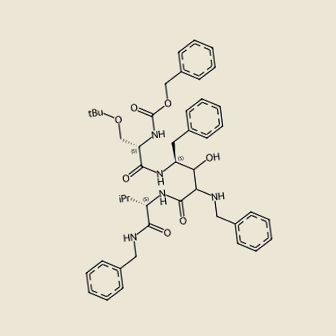 CC(C)[C@H](NC(=O)C(NCc1ccccc1)C(O)[C@H](Cc1ccccc1)NC(=O)[C@H](COC(C)(C)C)NC(=O)OCc1ccccc1)C(=O)NCc1ccccc1